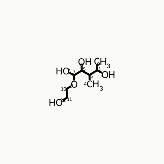 CC(O)C(C)C(O)C(O)OCCO